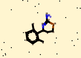 Cc1cccc(C)c1C1CCSC(N)=N1